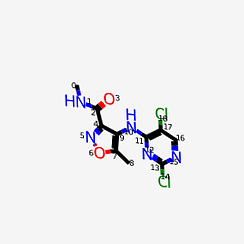 CNC(=O)c1noc(C)c1Nc1nc(Cl)ncc1Cl